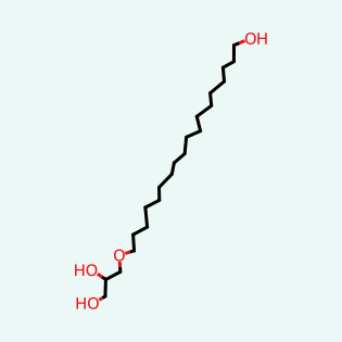 OCCCCCCCCCCCCCCCCCCOCC(O)CO